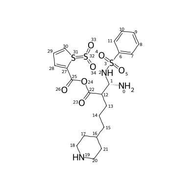 N[C@@H](NS(=O)(=O)c1ccccc1)C(CCCC1CCNCC1)C(=O)OC(=O)C1=CC=CS1=S(=O)=O